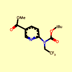 COC(=O)c1ccc(N(CC(F)(F)F)C(=O)OC(C)(C)C)nc1